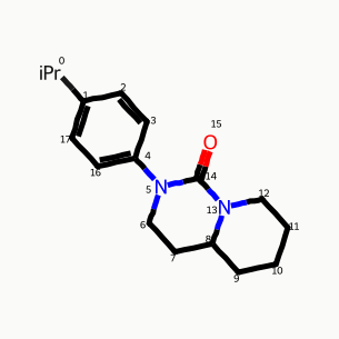 CC(C)c1ccc(N2CCC3CCCCN3C2=O)cc1